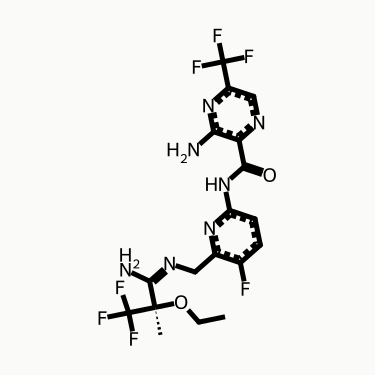 CCO[C@](C)(/C(N)=N\Cc1nc(NC(=O)c2ncc(C(F)(F)F)nc2N)ccc1F)C(F)(F)F